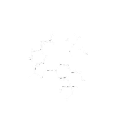 CC(=O)Nc1cc2c(-c3cc(OCC4(C#N)COC4)c4c(n3)C3(CCOC3)OCC4)cn(C)c2cn1